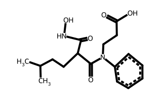 CC(C)CCC(C(=O)NO)C(=O)N(CCC(=O)O)c1ccccc1